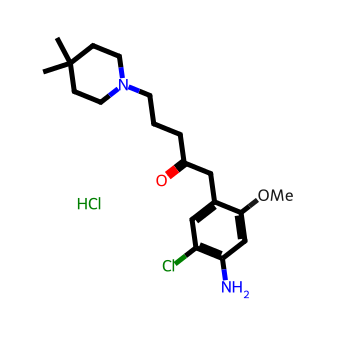 COc1cc(N)c(Cl)cc1CC(=O)CCCN1CCC(C)(C)CC1.Cl